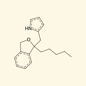 CCCCCC1(Cc2ccc[nH]2)OCc2ccccc21